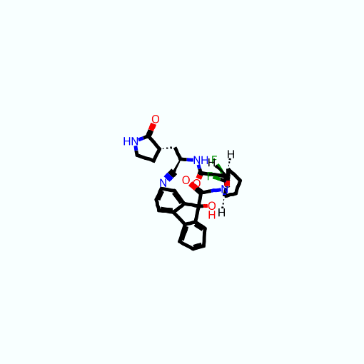 N#C[C@@H](C[C@@H]1CCNC1=O)NC(=O)[C@@H]1[C@H]2CC[C@H](CC2(F)F)N1C(=O)C1(O)c2ccccc2-c2ccccc21